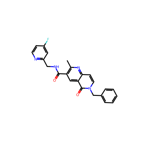 Cc1nc2ccn(Cc3ccccc3)c(=O)c2cc1C(=O)NCc1cc(F)ccn1